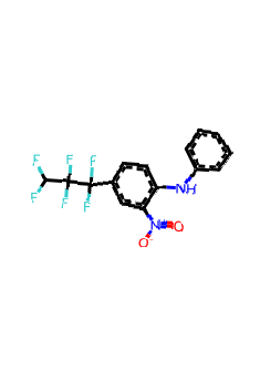 O=[N+]([O-])c1cc(C(F)(F)C(F)(F)C(F)F)ccc1Nc1ccccc1